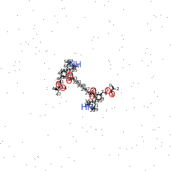 C=C(C)C(=O)OCCc1ccc(C2CC(C)(C)NC(C)(C)C2)c(OC(=O)CCCCCCCCC(=O)Oc2cc(CCOC(=O)C(=C)C)ccc2C2CC(C)(C)NC(C)(C)C2)c1